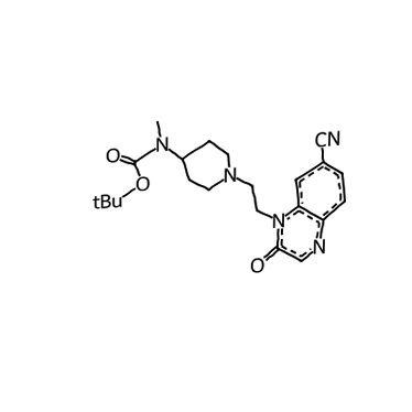 CN(C(=O)OC(C)(C)C)C1CCN(CCn2c(=O)cnc3ccc(C#N)cc32)CC1